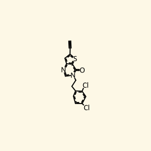 C#Cc1cc2ncn(CCc3ccc(Cl)cc3Cl)c(=O)c2s1